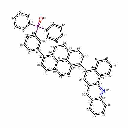 O=P(c1ccccc1)(c1ccccc1)c1cccc(-c2ccc3ccc4c(-c5cc6cc7ccccc7nc6c6ccccc56)ccc5ccc2c3c54)c1